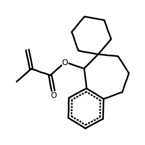 C=C(C)C(=O)OC1c2ccccc2CCCC12CCCCC2